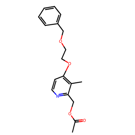 CC(=O)OCc1nccc(OCCOCc2ccccc2)c1C